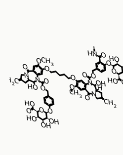 C=C1CC2C(O)N(C(=O)OCc3ccc(O[C@@H]4O[C@H](C(=O)O)[C@@H](O)[C@H](O)[C@H]4O)cc3)c3cc(OCCCCCOc4cc5c(cc4OC)C(=O)N4CC(=C)C[C@H]4C(O)N5C(=O)OCc4ccc(O[C@@H]5O[C@H](C(=O)O)[C@@H](O)[C@H](O)[C@H]5O)c(C(=O)NI)c4)c(OC)cc3C(=O)N2C1